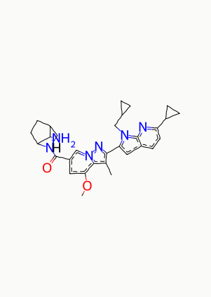 COc1cc(C(=O)N2CC3CCC2[C@@H]3N)cn2nc(-c3cc4ccc(C5CC5)nc4n3CC3CC3)c(C)c12